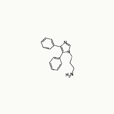 NCCCn1cnc(-c2ccccc2)c1-c1ccccc1